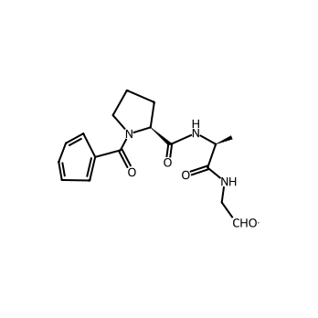 C[C@H](NC(=O)[C@@H]1CCCN1C(=O)c1ccccc1)C(=O)NC[C]=O